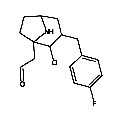 O=CCC12CCC(CC(Cc3ccc(F)cc3)C1Cl)N2